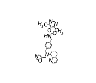 Cc1ncnc(C)c1OC(=O)NCc1ccc(CN(Cc2cnco2)C2CCCc3cccnc32)cc1